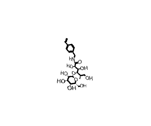 C=Cc1ccc(CNC(=O)[C@H](O)[C@@H](O)[C@H](O[C@@H]2O[C@H](CO)[C@H](O)[C@H](O)[C@H]2O)[C@H](C)CO)cc1